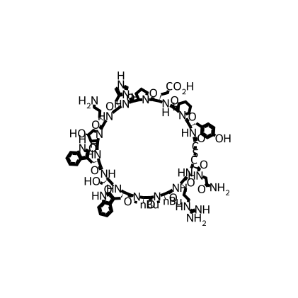 CCCC[C@H]1C(=O)N(C)[C@@H](CCCC)C(=O)N[C@@H](CCCNC(=N)N)C(=O)N[C@H](C(=O)NCC(N)=O)CSCC(=O)N[C@@H](Cc2ccc(O)cc2)C(=O)N2CCCC[C@H]2C(=O)N[C@@H](CCC(=O)O)C(=O)N2CCC[C@H]2C(=O)N[C@@H](Cc2c[nH]cn2)C(=O)N[C@@H](CCCN)C(=O)N2C[C@H](O)C[C@H]2C(=O)N[C@@H](Cc2c[nH]c3ccccc23)C(=O)N[C@@H](CO)C(=O)N[C@@H](Cc2c[nH]c3ccccc23)C(=O)N1C